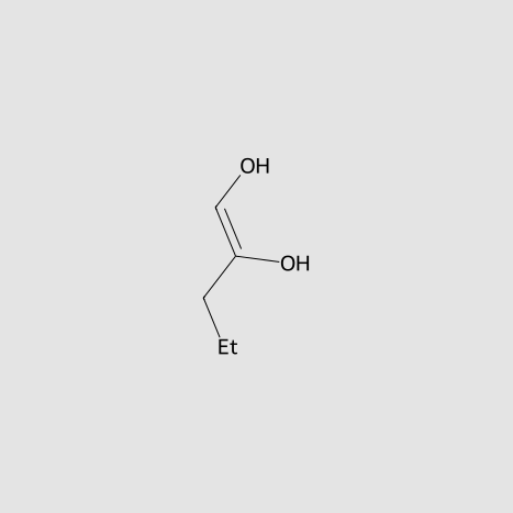 CCC/C(O)=C/O